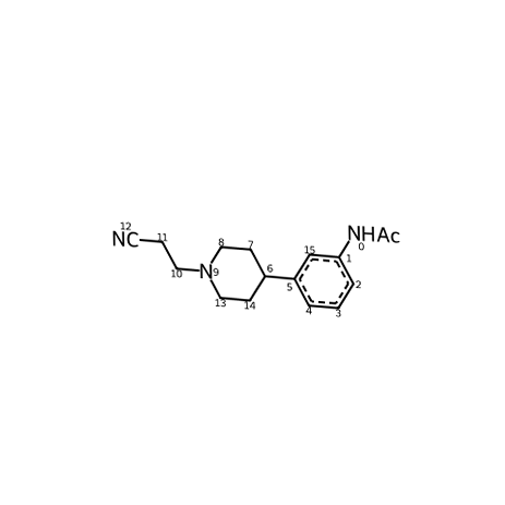 CC(=O)Nc1cccc(C2CCN(CCC#N)CC2)c1